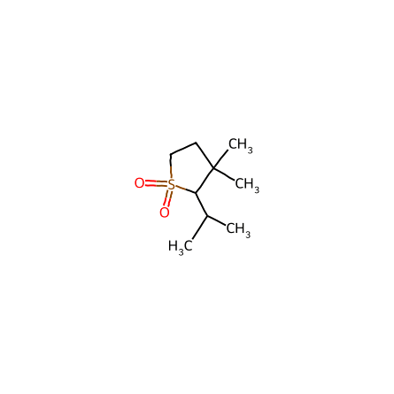 CC(C)C1C(C)(C)CCS1(=O)=O